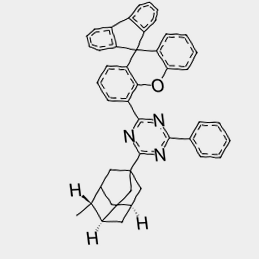 C[C@@H]1C2C[C@@H]3C[C@@H]1CC(c1nc(-c4ccccc4)nc(-c4cccc5c4Oc4ccccc4C54c5ccccc5-c5ccccc54)n1)(C2)C3